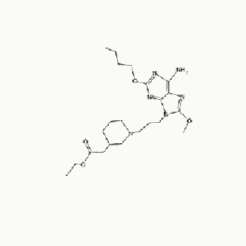 CCCCOc1nc(N)c2nc(OC)n(CCCN3CCCC(CC(=O)OCC)C3)c2n1